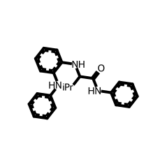 CC(C)C(Nc1ccccc1Nc1ccccc1)C(=O)Nc1ccccc1